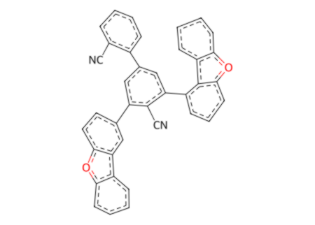 N#Cc1ccccc1-c1cc(-c2ccc3oc4ccccc4c3c2)c(C#N)c(-c2cccc3oc4ccccc4c23)c1